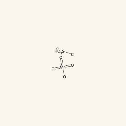 O=S(=O)(O)Cl.[K+].[O]=[Mn](=[O])(=[O])[O-]